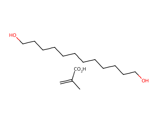 C=C(C)C(=O)O.OCCCCCCCCCCCCO